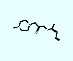 C=C/C=C(/C)SCC(=O)CN1CCN(C)CC1